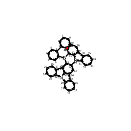 c1ccc(-c2ccccc2B2c3c(cc4c5ccccc5n5c6ccccc6c3c45)-n3c4ccccc4c4cccc2c43)cc1